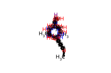 CCCCCOc1ccc(-c2ccc(-c3ccc(C(=O)N[C@@H]4C[C@@H](O)[C@@H](O)NC(=O)[C@@H]5[C@@H](O)[C@@H](C)CN5C(=O)[C@H]([C@@H](C)O)NC(=O)[C@H]([C@H](O)[C@@H](O)c5ccc(O[PH](=O)OO)cc5)NC(=O)[C@@H]5C[C@@H](O)CN5C(=O)[C@H]([C@@H](C)O)NC4=O)cc3)cc2)cc1